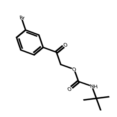 CC(C)(C)NC(=O)OCC(=O)c1cccc(Br)c1